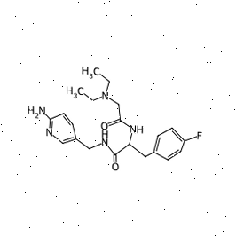 CCN(CC)CC(=O)NC(Cc1ccc(F)cc1)C(=O)NCc1ccc(N)nc1